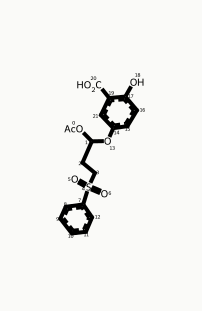 CC(=O)OC(CCS(=O)(=O)c1ccccc1)Oc1ccc(O)c(C(=O)O)c1